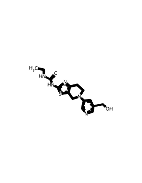 CCNC(=O)Nc1nc2c(s1)CN(c1cncc(CO)c1)CC2